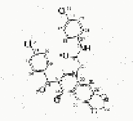 O=C(Cn1cc(C(=O)c2ccc(Cl)cc2)c(=O)c2cc3c(cc21)OCO3)Nc1ccc(Cl)cc1